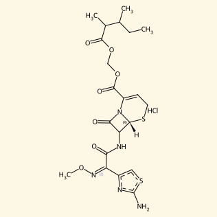 CCC(C)C(C)C(=O)OCOC(=O)C1=CCS[C@@H]2C(NC(=O)/C(=N\OC)c3csc(N)n3)C(=O)N12.Cl